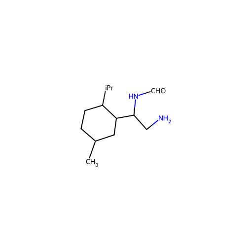 CC1CCC(C(C)C)C(C(CN)NC=O)C1